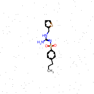 CCCc1ccc(S(=O)(=O)/N=C(\N)NCc2cccs2)cc1